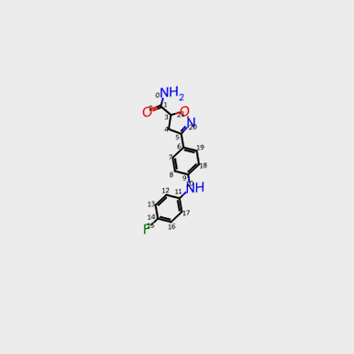 NC(=O)C1CC(c2ccc(Nc3ccc(F)cc3)cc2)=NO1